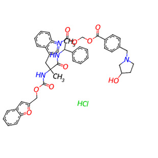 CC(NC(=O)C(C)(Cc1cn(C(=O)OCOC(=O)c2ccc(CN3CCC(O)C3)cc2)c2ccccc12)NC(=O)OCc1cc2ccccc2o1)c1ccccc1.Cl